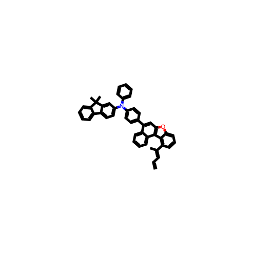 C=C/C=C(\C)c1cccc2oc3cc(-c4ccc(N(c5ccccc5)c5ccc6c(c5)C(C)(C)c5ccccc5-6)cc4)c4ccccc4c3c12